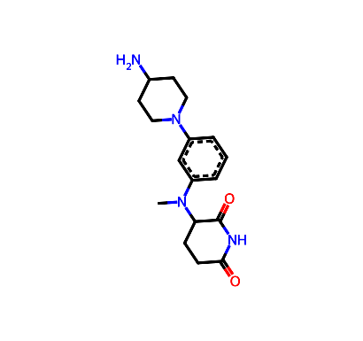 CN(c1cccc(N2CCC(N)CC2)c1)C1CCC(=O)NC1=O